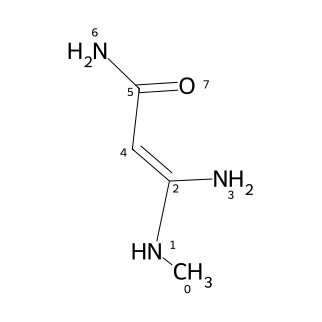 CNC(N)=CC(N)=O